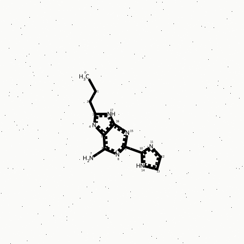 CCCc1nc2c(N)nc(-c3ncc[nH]3)nc2[nH]1